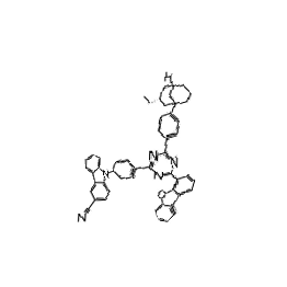 CC[C@@H]1C[C@@H]2CCCC(c3ccc(-c4nc(-c5ccc(-n6c7ccccc7c7cc(C#N)ccc76)cc5)nc(-c5cccc6c5oc5ccccc56)n4)cc3)(C1)C2